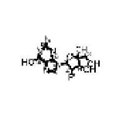 CC1(CO)OC(n2cnc3c(O)nc(F)nc32)C(F)C1O